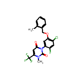 Cc1ccccc1COc1cc(-n2c(=O)cc(C(F)(F)F)n(C)c2=O)c(F)cc1Cl